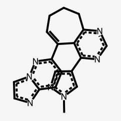 Cn1cc(-c2ncnc3c2C(c2ccc4nccn4n2)=CCCC3)cn1